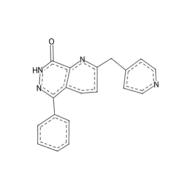 O=c1[nH]nc(-c2ccccc2)c2ccc(Cc3ccncc3)nc12